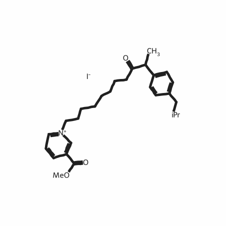 COC(=O)c1ccc[n+](CCCCCCCCC(=O)C(C)c2ccc(CC(C)C)cc2)c1.[I-]